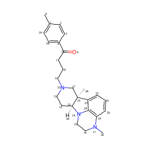 Cc1ccc(C(=O)CCCN2CC[C@@H]3N4CCN(C)c5cccc(c54)[C@]3(C)C2)cc1